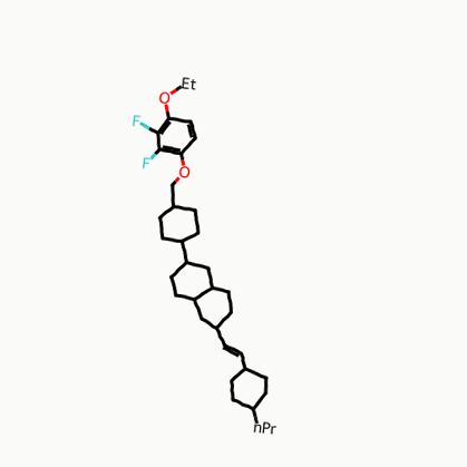 CCCC1CCC(/C=C/C2CCC3CC(C4CCC(COc5ccc(OCC)c(F)c5F)CC4)CCC3C2)CC1